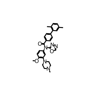 COc1ccc(N(C(=O)c2ccc(-c3cc(C)ccc3C)cc2)c2nnco2)cc1N1CCN(C)CC1